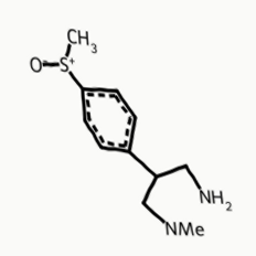 CNCC(CN)c1ccc([S+](C)[O-])cc1